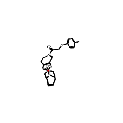 CN1CC2CCC(C1)N2c1nc2c(s1)CN(C(=O)COc1ccc(F)cc1)CC2